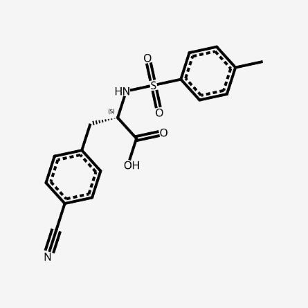 Cc1ccc(S(=O)(=O)N[C@@H](Cc2ccc(C#N)cc2)C(=O)O)cc1